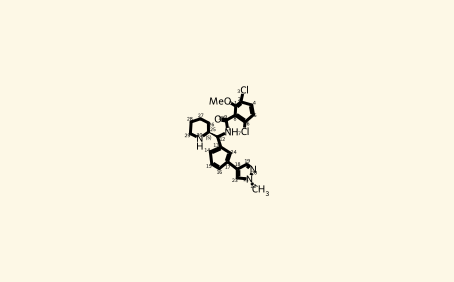 COc1c(Cl)ccc(Cl)c1C(=O)NC(c1cccc(-c2cnn(C)c2)c1)[C@@H]1CCCCN1